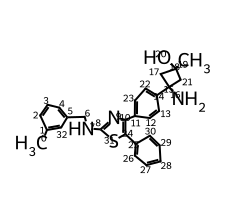 Cc1cccc(CNc2nc(-c3ccc(C4(N)CC(C)(O)C4)cc3)c(-c3ccccc3)s2)c1